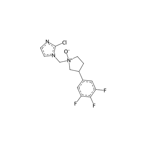 [O-][N+]1(Cn2ccnc2Cl)CCC(c2cc(F)c(F)c(F)c2)C1